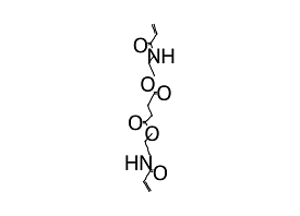 C=CC(=O)NCCOC(=O)CCC(=O)OCCNC(=O)C=C